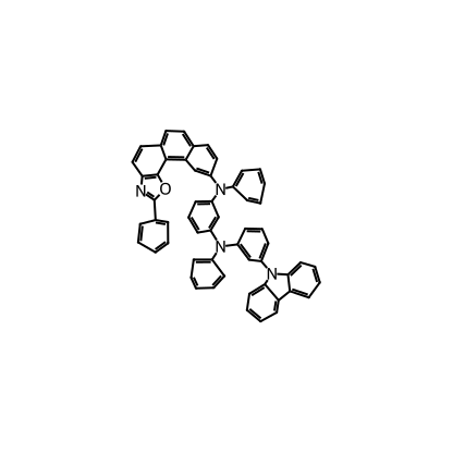 c1ccc(-c2nc3ccc4ccc5ccc(N(c6ccccc6)c6cccc(N(c7ccccc7)c7cccc(-n8c9ccccc9c9ccccc98)c7)c6)cc5c4c3o2)cc1